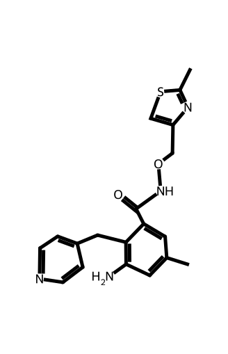 Cc1cc(N)c(Cc2ccncc2)c(C(=O)NOCc2csc(C)n2)c1